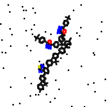 Cc1ccc2c(c1)C(C)(C)c1cc(-c3ccc(-c4ccc5c(c4)C(C)(C)c4cc(-c6ccc7c(c6)C(c6ccc(-c8nnc(-c9ccc(C(C)(C)C)cc9)o8)cc6)(c6ccc(-c8nnc(-c9ccc(C(C)(C)C)cc9)o8)cc6)c6cc(C)ccc6-7)ccc4-5)c4nsnc34)ccc1-2